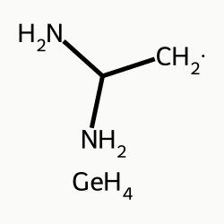 [CH2]C(N)N.[GeH4]